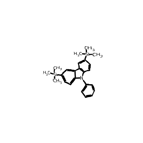 C[Si](C)(C)c1ccc2c(c1)c1cc([Si](C)(C)C)ccc1n2-c1ccccc1